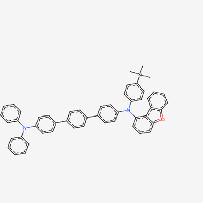 C[Si](C)(C)c1ccc(N(c2ccc(-c3ccc(-c4ccc(N(c5ccccc5)c5ccccc5)cc4)cc3)cc2)c2cccc3oc4ccccc4c23)cc1